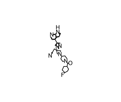 N#CCC1(n2cc(-c3ccnc4[nH]ccc34)cn2)CN(C2CCN(C(=O)C3CCC(F)CC3)CC2)C1